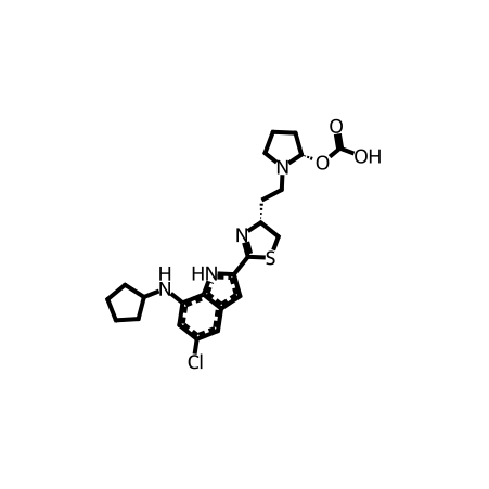 O=C(O)O[C@H]1CCCN1CC[C@@H]1CSC(c2cc3cc(Cl)cc(NC4CCCC4)c3[nH]2)=N1